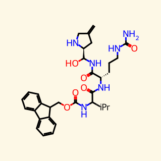 C=C1CN[C@H](C(O)NC(=O)[C@H](CCCNC(N)=O)NC(=O)C(NC(=O)OCC2c3ccccc3-c3ccccc32)C(C)C)C1